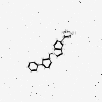 c1ccc(-c2cccc(Cn3ccc4cc(-c5nn[nH]n5)ccc43)c2)cc1